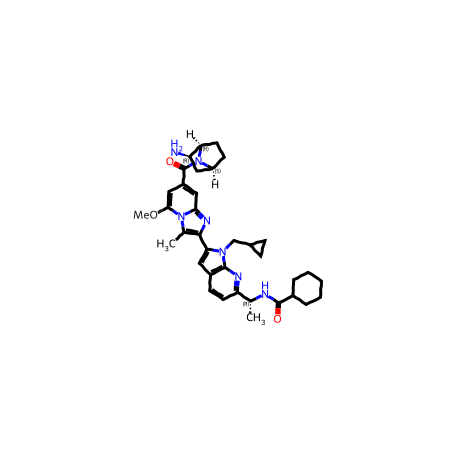 COc1cc(C(=O)N2[C@H]3CC[C@@H]2[C@H](N)C3)cc2nc(-c3cc4ccc([C@@H](C)NC(=O)C5CCCCC5)nc4n3CC3CC3)c(C)n12